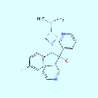 CN(C)C1CN(C(c2ccc(F)cc2)C(O)(c2cccnc2)c2cccnc2)C1